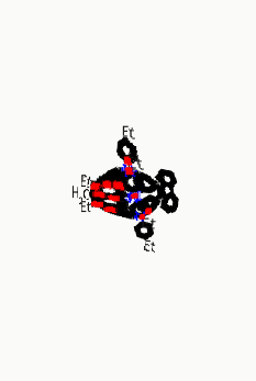 C=C1c2ccc(cc2)N(c2ccc(CC)cc2)c2cc(N(c3ccc(CC)cc3)c3ccc(CC)cc3)cc(c2)C2(c3cc(N(c4ccc(CC)cc4)c4ccc(CC)cc4)cc(c3)N(c3ccc(CC)cc3)c3ccc1cc3)c1ccccc1-c1ccccc12